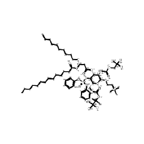 CCCCCCCCCCCCCC(=O)O[C@H](CCCCCCCCCCC)CC(=O)O[C@@H]1[C@H](NC(=O)OCC(Cl)(Cl)Cl)[C@@H](OCC[Si](C)(C)C)O[C@H](COC(=O)OC(C)(C)C(Cl)(Cl)Cl)[C@H]1OP(=O)(Oc1ccccc1)Oc1ccccc1